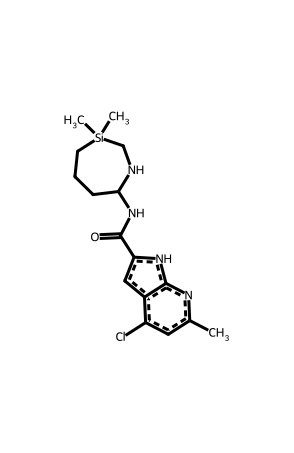 Cc1cc(Cl)c2cc(C(=O)NC3CCC[Si](C)(C)CN3)[nH]c2n1